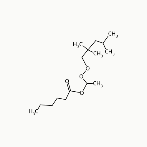 CCCCCC(=O)OC(C)OOCC(C)(C)CC(C)C